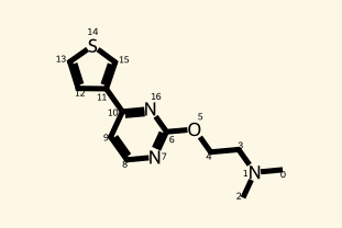 CN(C)CCOc1nccc(-c2ccsc2)n1